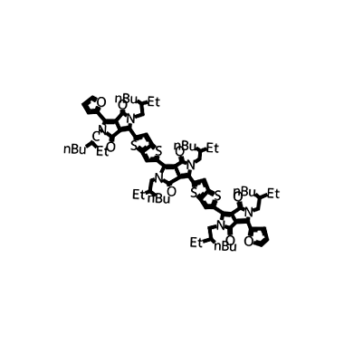 CCCCC(CC)CN1C(=O)C2=C(c3cc4sc(C5=C6C(=O)N(CC(CC)CCCC)C(c7cc8sc(C9=C%10C(=O)N(CC(CC)CCCC)C(c%11ccco%11)=C%10C(=O)N9CC(CC)CCCC)cc8s7)=C6C(=O)N5CC(CC)CCCC)cc4s3)N(CC(CC)CCCC)C(=O)C2=C1c1ccco1